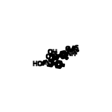 Cc1cc(-c2cc(C3=C(C4CCC(C)CC4)CCN(CCO)C3)c(C(=O)O)s2)ccc1NC(=O)c1cscn1